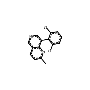 Cc1ccc2cncc(-c3c(Cl)cccc3Cl)c2n1